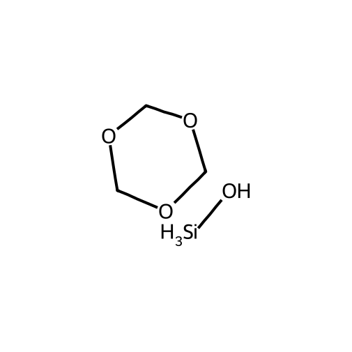 C1OCOCO1.O[SiH3]